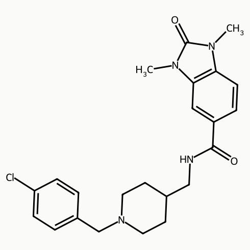 Cn1c(=O)n(C)c2cc(C(=O)NCC3CCN(Cc4ccc(Cl)cc4)CC3)ccc21